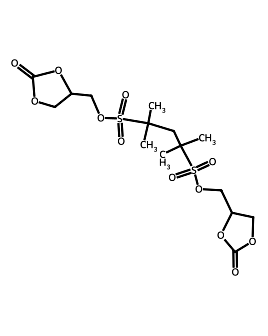 CC(C)(CC(C)(C)S(=O)(=O)OCC1COC(=O)O1)S(=O)(=O)OCC1COC(=O)O1